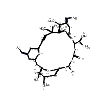 CC(=O)/C=C1\CC2/C=C/C(C)(C)C3(O)OC(C/C(=C\C(C)=O)C3OC(C)=O)CC(C(C)O)OC(=O)CC(O)CC3CC(OC(C)=O)C(C)(C)C(O)(CC(C1)O2)O3